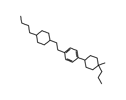 CCCCC1CCC(CCc2ccc(C3CCC(C)(CCC)CC3)cc2)CC1